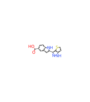 O=C(O)c1ccc2[nH]c(-c3n[nH]c4ccsc34)cc2c1